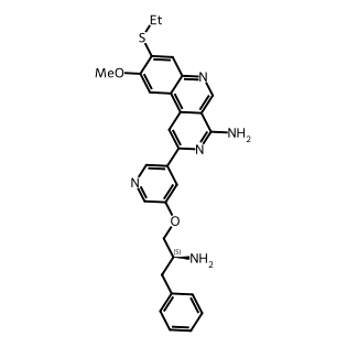 CCSc1cc2ncc3c(N)nc(-c4cncc(OC[C@@H](N)Cc5ccccc5)c4)cc3c2cc1OC